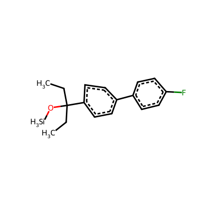 CCC(CC)(O[SiH3])c1ccc(-c2ccc(F)cc2)cc1